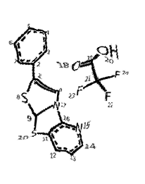 C1=C(c2ccccc2)SC2Sc3cccnc3N12.O=C(O)C(F)(F)F